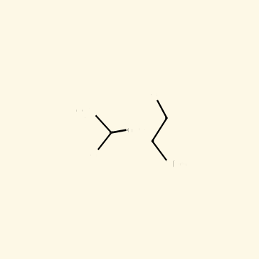 CCCCCCCCCCC(O)C(=O)O.CCCCCCCCCCCCO